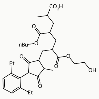 CCCCOC(=O)C(CC(C)C(=O)O)CC(CC1C(=O)C(c2c(CC)cccc2CC)C(=O)C1C)C(=O)OCCO